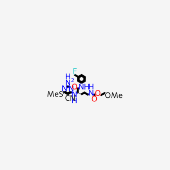 COCCOC(=O)NCCC[C@H](Nc1nc(N)nc(SC)c1C#N)C(=O)Nc1cccc(CF)c1